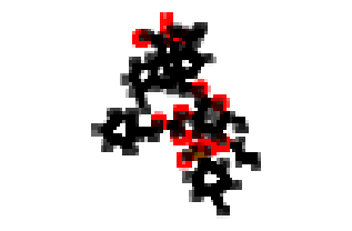 C=CCO[C@H]1[C@@H](OS(=O)(=O)c2ccc(C)cc2)[C@H](OC(=O)OCc2ccccc2)[C@H](OCC23CC4C(C)CCC4C4(C=O)CC2C=C(C(C)C)C43C(=O)O)O[C@@H]1C